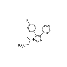 CC(CC(=O)O)n1cnc(-c2ccncc2)c1-c1ccc(F)cc1